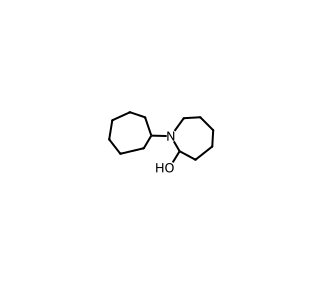 OC1CCCCCN1C1CCCCCC1